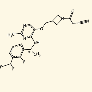 Cc1ncc(OCC2CN(C(=O)CC#N)C2)c(N[C@H](C)c2cccc(C(F)F)c2F)n1